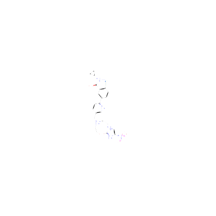 O=C(NC1CC1)c1cc(-c2ccc(CN3CCOc4nc([N+](=O)[O-])cn4CC3)cn2)ccc1F